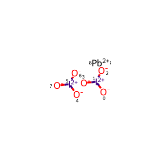 [O-][I+2]([O-])[O-].[O-][I+2]([O-])[O-].[Pb+2]